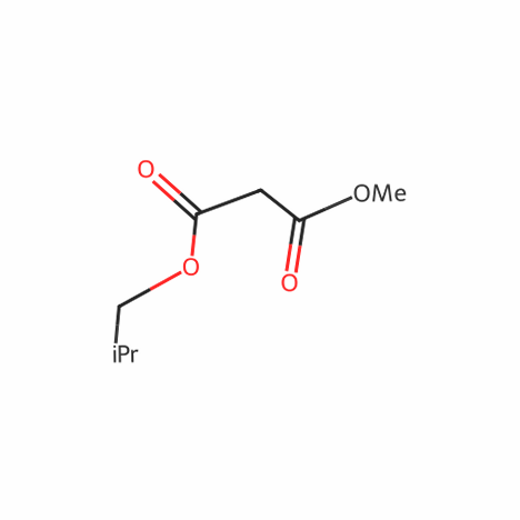 COC(=O)CC(=O)OCC(C)C